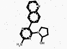 Nc1cnc(-c2ccc3ncccc3c2)c(N2CCCC2O)n1